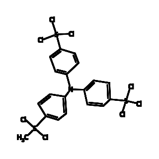 CS(Cl)(Cl)c1ccc(N(c2ccc(S(Cl)(Cl)Cl)cc2)c2ccc(S(Cl)(Cl)Cl)cc2)cc1